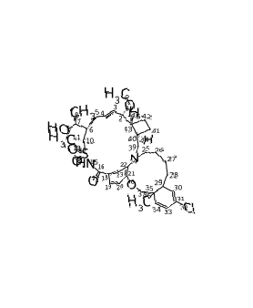 CO[C@H]1/C=C/C[C@H]([C@H](C)O)[C@@H](C)S(=O)(=O)NC(=O)c2ccc3c(c2)N(CCCCC2C=C(Cl)C=CC2(C)CO3)C[C@@H]2CC[C@H]21